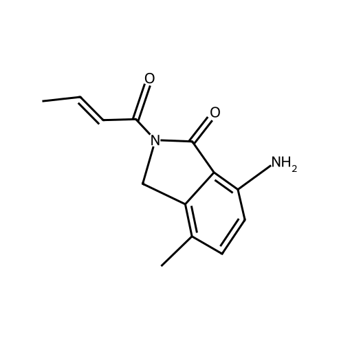 C/C=C/C(=O)N1Cc2c(C)ccc(N)c2C1=O